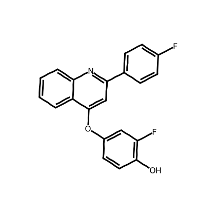 Oc1ccc(Oc2cc(-c3ccc(F)cc3)nc3ccccc23)cc1F